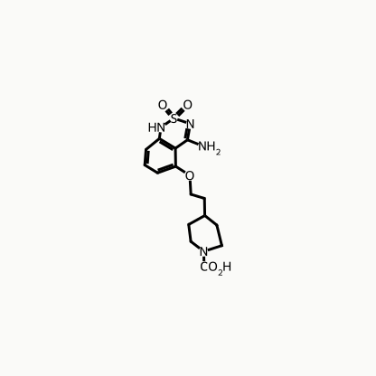 NC1=NS(=O)(=O)Nc2cccc(OCCC3CCN(C(=O)O)CC3)c21